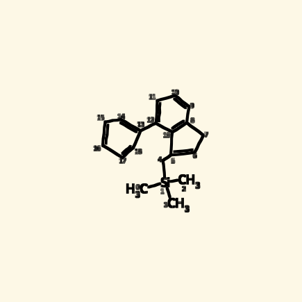 C[Si](C)(C)CC1=CCc2cccc(-c3ccccc3)c21